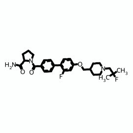 CC(C)(F)CN1CCC(COc2ccc(-c3ccc(C(=O)N4CCCC4C(N)=O)cc3)c(F)c2)CC1